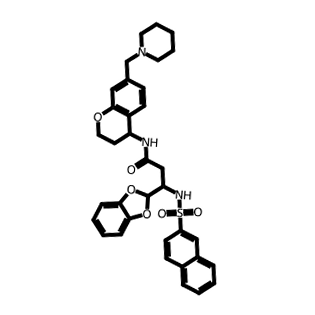 O=C(CC(NS(=O)(=O)c1ccc2ccccc2c1)C1Oc2ccccc2O1)NC1CCOc2cc(CN3CCCCC3)ccc21